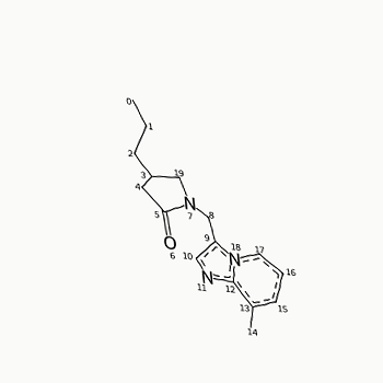 CCCC1CC(=O)N(Cc2cnc3c(C)cccn23)C1